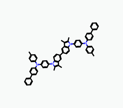 Cc1ccc(N(c2ccc(-c3ccccc3)cc2)c2ccc(-n3c(C)c(C)c4cc(-c5ccc6c(c5)c(C)c(C)n6-c5ccc(N(c6ccc(C)cc6)c6ccc(-c7ccccc7)cc6)cc5)ccc43)cc2)cc1